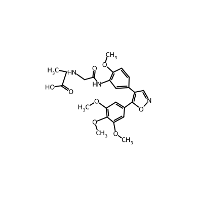 COc1ccc(-c2cnoc2-c2cc(OC)c(OC)c(OC)c2)cc1NC(=O)CNC(C)C(=O)O